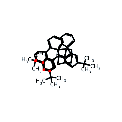 CC(C)(C)c1cc(N(c2ccc(C(C)(C)C)cc2-c2ccccc2)c2ccccc2-c2cccc3cccc(C45CC6CC7CC(C4)C765)c23)cc(C(C)(C)C)c1